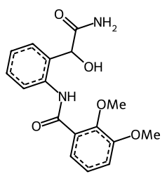 COc1cccc(C(=O)Nc2ccccc2C(O)C(N)=O)c1OC